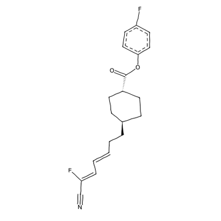 N#CC(F)=CC=CCC[C@H]1CC[C@H](C(=O)Oc2ccc(F)cc2)CC1